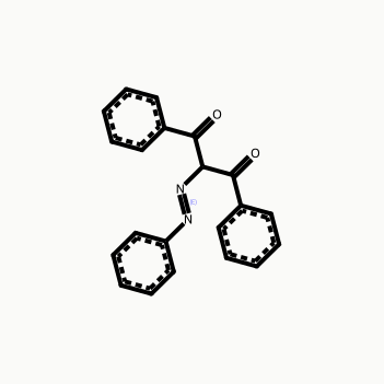 O=C(c1ccccc1)C(/N=N/c1ccccc1)C(=O)c1ccccc1